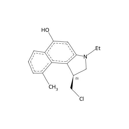 CCN1C[C@@H](CCl)c2c1cc(O)c1cccc(C)c21